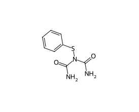 NC(=O)N(Sc1ccccc1)C(N)=O